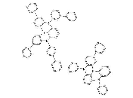 c1ccc(-c2cccc(N3c4cc(-c5ccccc5)ccc4B4c5ccc(-c6ccccc6)cc5N(c5ccc(-c6cccc(-c7ccc(N8c9ccc(-c%10ccccc%10)cc9B9c%10ccccc%10N(c%10ccccc%10)c%10cccc8c%109)cc7)c6)cc5)c5cccc3c54)c2)cc1